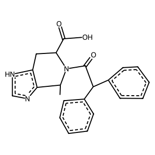 CC1c2nc[nH]c2CC(C(=O)O)N1C(=O)C(c1ccccc1)c1ccccc1